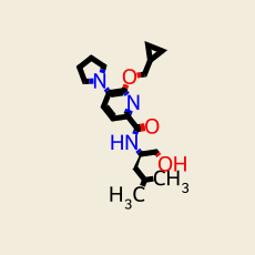 CC(C)C[C@H](CO)NC(=O)c1ccc(N2CCCC2)c(OCC2CC2)n1